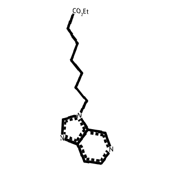 CCOC(=O)CCCCCCn1cnc2ccncc21